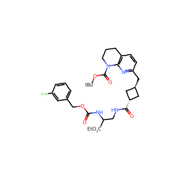 CCOC(=O)C(CNC(=O)[C@H]1C[C@H](Cc2ccc3c(n2)N(C(=O)OC(C)(C)C)CCC3)C1)NC(=O)OCc1cccc(F)c1